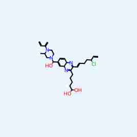 C=CC(=C)N1CCN(C(O)C2=CC3N=C(CCCCC(O)O)C(/C=C/CCC(Cl)C=C)=NC3C=C2)CC1C